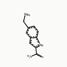 CNCc1ccc2[nH]c(C(N)=O)cc2c1